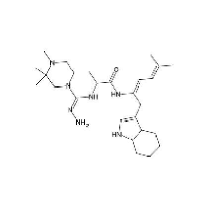 CC(C)=C/C=C(\CC1=CNC2CCCCC12)NC(=O)C(C)N/C(=N\N)N1CCN(C)C(C)(C)C1